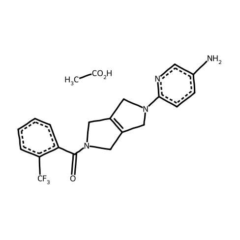 CC(=O)O.Nc1ccc(N2CC3=C(CN(C(=O)c4ccccc4C(F)(F)F)C3)C2)nc1